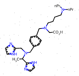 CCCN(CCC)CCCCN(CC(=O)O)Cc1ccc(CN(Cc2ncc[nH]2)C(C)c2ncc[nH]2)cc1